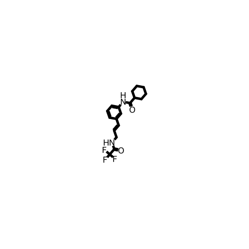 O=C(Nc1cccc(C=CCNC(=O)C(F)(F)F)c1)C1CCCCC1